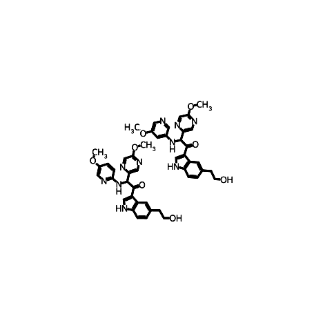 COc1ccc(NC(C(=O)c2c[nH]c3ccc(CCO)cc23)c2cnc(OC)cn2)nc1.COc1cncc(NC(C(=O)c2c[nH]c3ccc(CCO)cc23)c2cnc(OC)cn2)c1